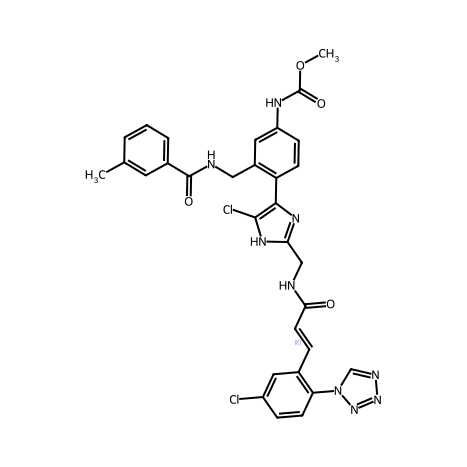 COC(=O)Nc1ccc(-c2nc(CNC(=O)/C=C/c3cc(Cl)ccc3-n3cnnn3)[nH]c2Cl)c(CNC(=O)c2cccc(C)c2)c1